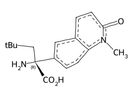 Cn1c(=O)ccc2cc([C@](N)(CC(C)(C)C)C(=O)O)ccc21